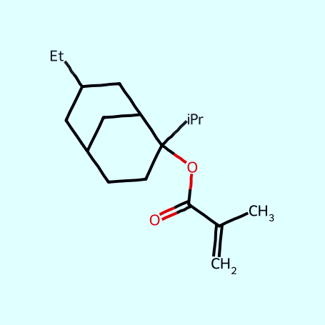 C=C(C)C(=O)OC1(C(C)C)CCC2CC(CC)CC1C2